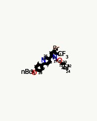 CCCCOc1ccc(-c2ccc(-c3cc(Br)c(C(F)(F)F)n3COCC[Si](C)(C)C)cn2)cc1